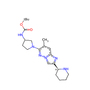 Cc1cc2nc([C@@H]3CCCCN3)cn2nc1N1CCC(NC(=O)OC(C)(C)C)C1